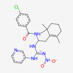 CC1=C(CC(NC(=O)c2ccc(Cl)cc2)N/C(=N/[N+](=O)[O-])Nc2cccnc2)C(C)(C)CCC1